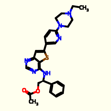 CCN1CCN(c2ccc(-c3cc4ncnc(N[C@H](COC(C)=O)c5ccccc5)c4s3)cn2)CC1